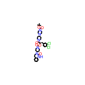 CC(C)(C)OC(=O)N1CCN(C2CCN(C(=O)[C@@H](Cc3ccc(Cl)c(Cl)c3)OC(=O)N3CCC(N4CCc5ccccc5NC4=O)CC3)CC2)CC1